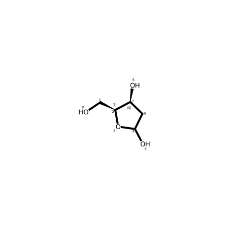 OC[C@@H]1OC(O)C[C@@H]1O